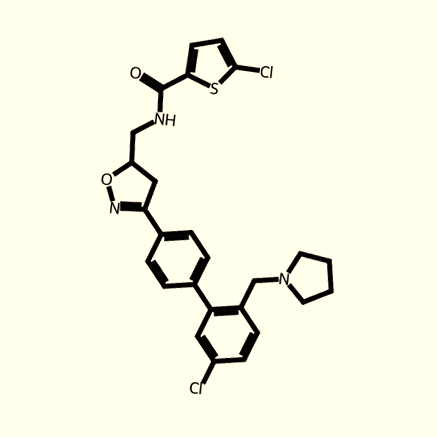 O=C(NCC1CC(c2ccc(-c3cc(Cl)ccc3CN3CCCC3)cc2)=NO1)c1ccc(Cl)s1